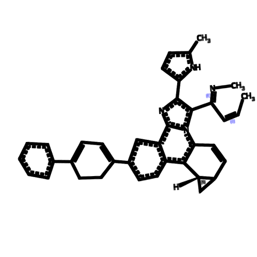 C/C=C\C(=N/C)c1c(-c2ccc(C)[nH]2)nc2c3cc(C4=CC=C(c5ccccc5)CC4)ccc3c3c(n12)C=CC1C[C@H]31